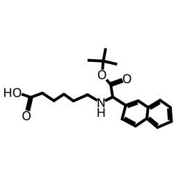 CC(C)(C)OC(=O)C(NCCCCCC(=O)O)c1ccc2ccccc2c1